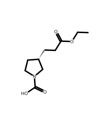 CCOC(=O)CC[C@H]1CCN(C(=O)O)C1